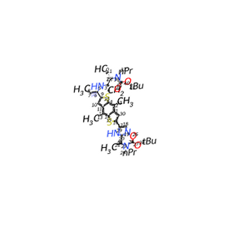 C#C[C@@H](C(=C)N/C(=C\C)c1cc2c(C)c3sc(-c4cnc([C@H](C)N(CCC)C(=O)OC(C)(C)C)[nH]4)cc3c(C)c2s1)N(CCC)C(=O)OC(C)(C)C